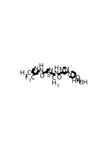 Cc1cnc(NC(=O)c2cnc([C@@H](C)NC(=O)c3cc(N4CCC(OPO)CC4)ncn3)s2)cc1C(F)(F)F